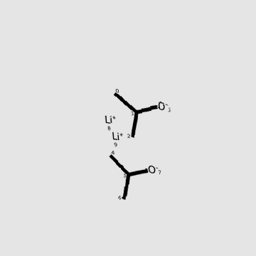 CC(C)[O-].CC(C)[O-].[Li+].[Li+]